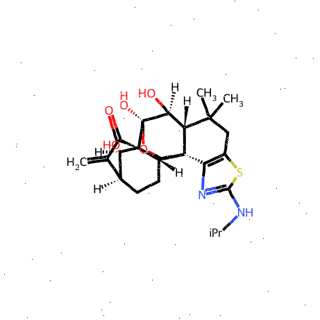 C=C1C(=O)[C@]23[C@H](O)[C@H]1CC[C@H]2[C@@]12CO[C@@]3(O)[C@@H](O)[C@@H]1C(C)(C)Cc1sc(NC(C)C)nc12